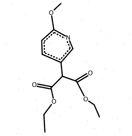 CCOC(=O)C(C(=O)OCC)c1ccc(OC)nc1